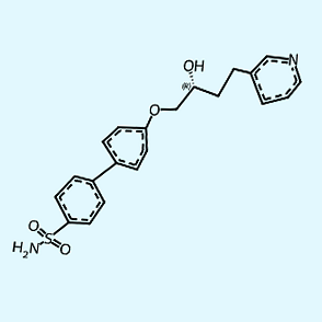 NS(=O)(=O)c1ccc(-c2ccc(OC[C@H](O)CCc3cccnc3)cc2)cc1